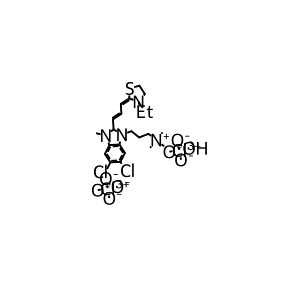 CCN1CCSC1=CC=CC1N(C)c2cc(Cl)c(Cl)cc2N1CCC[N+](C)(C)C.[O-][Cl+3]([O-])([O-])O.[O-][Cl+3]([O-])([O-])[O-]